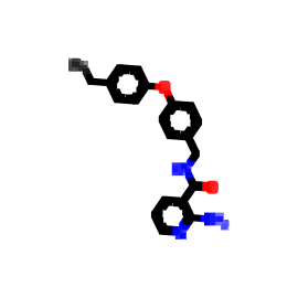 CCC(C)Cc1ccc(Oc2ccc(CNC(=O)c3cccnc3N)cc2)cc1